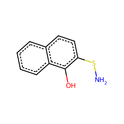 NSc1ccc2ccccc2c1O